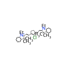 CCN1/C(=C/C=C2\CCC(/C=C/C3=[N+](CC)c4ccccc4C3(C)C)=C2Cl)C(C)(C)c2ccccc21